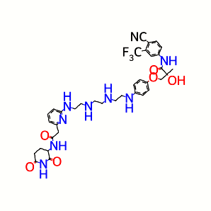 CC(O)(COc1ccc(NCCNCCNCCNc2cccc(CC(=O)NC3CCC(=O)NC3=O)n2)cc1)C(=O)Nc1ccc(C#N)c(C(F)(F)F)c1